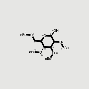 CCCCOCC1O[C@@H](O)C(OCCCC)C(OCCCC)[C@@H]1OCCCC